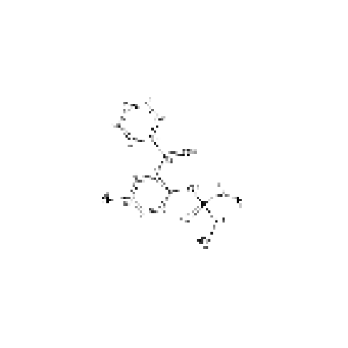 CCCSP(=O)(OCC)Oc1ccc(Cl)cc1C(=O)c1ccccc1